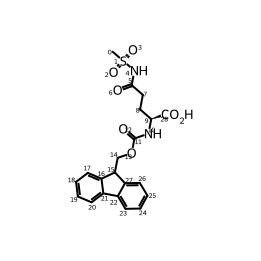 CS(=O)(=O)NC(=O)CC[C@H](NC(=O)OCC1c2ccccc2-c2ccccc21)C(=O)O